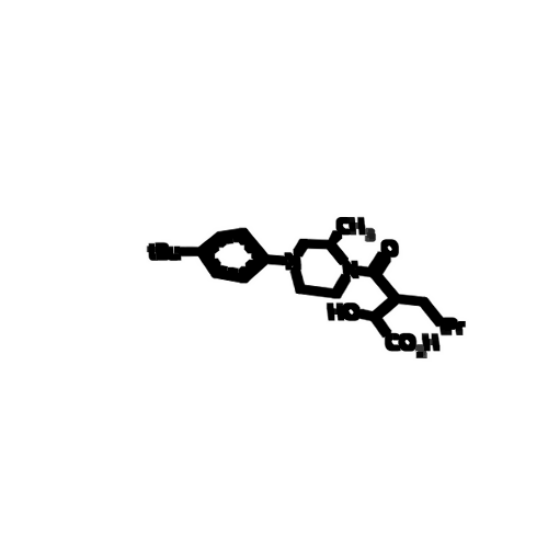 CC(C)CC(C(=O)N1CCN(c2ccc(C(C)(C)C)cc2)C[C@H]1C)C(O)C(=O)O